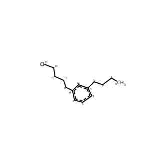 CCCCc1cccc(CCCCCl)c1